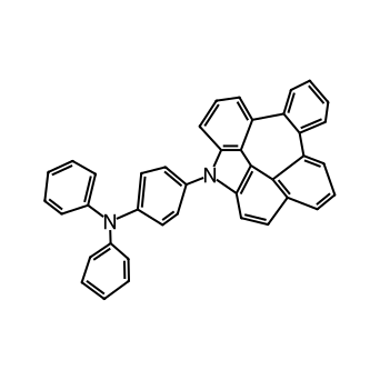 c1ccc(N(c2ccccc2)c2ccc(-n3c4cccc5c4c4c6c(cccc6ccc43)-c3ccccc3-5)cc2)cc1